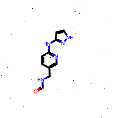 O=CNCc1ccc(Nc2cc[nH]n2)nc1